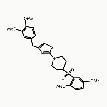 COc1ccc(OC)c(S(=O)(=O)C2CCN(c3nc(Cc4ccc(OC)c(OC)c4)cs3)CC2)c1